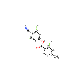 Cc1ccc(C(=O)Oc2cc(F)c(C#N)c(F)c2)c(F)c1